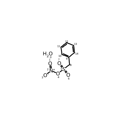 O.O=[N+]([O-])OS(=O)(=O)Cc1ccccc1